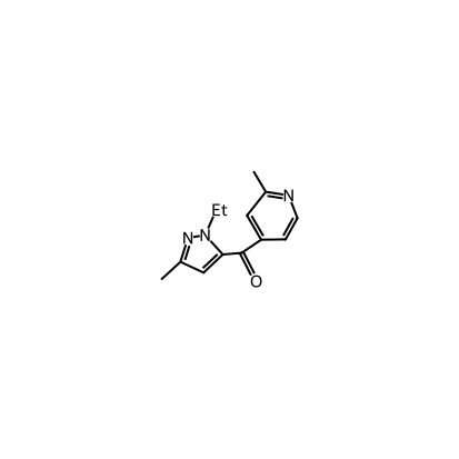 CCn1nc(C)cc1C(=O)c1ccnc(C)c1